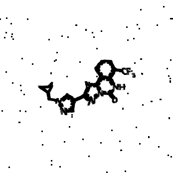 O=c1[nH]c2c(C(F)(F)F)cccc2c2nc(-c3cnn(CC4CC4)c3)nn12